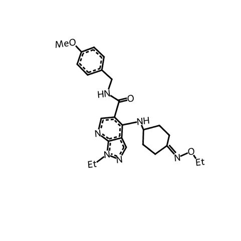 CCON=C1CCC(Nc2c(C(=O)NCc3ccc(OC)cc3)cnc3c2cnn3CC)CC1